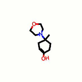 CC1(N2CCOCC2)CC=C(O)CC1